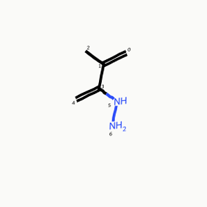 C=C(C)C(=C)NN